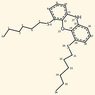 CCCCCCSc1cccc2c1Oc1c(cccc1SCCCCCC)N2